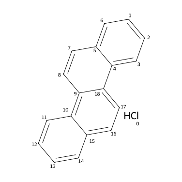 Cl.c1ccc2c(c1)ccc1c3ccccc3ccc21